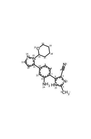 [CH2]c1nc(C#N)c(-c2ccc(-c3ccnn3C3CCCCO3)cc2N)[nH]1